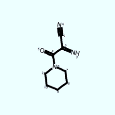 N#CC(=N)C(=O)N1CCCCC1